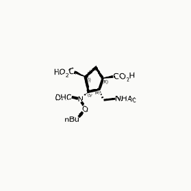 CCCCON(C=O)[C@H]1[C@@H](CNC(C)=O)[C@H](C(=O)O)C[C@@H]1C(=O)O